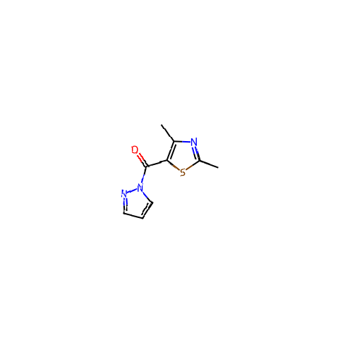 Cc1nc(C)c(C(=O)n2cccn2)s1